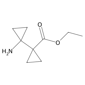 CCOC(=O)C1(C2(N)CC2)CC1